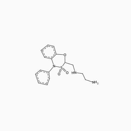 NCCNCC1Oc2ccccc2N(c2ccccc2)S1(=O)=O